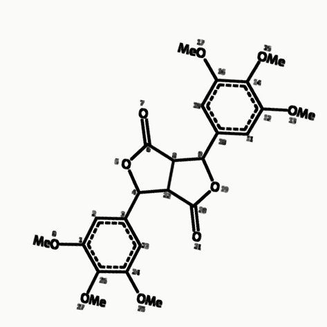 COc1cc(C2OC(=O)C3C(c4cc(OC)c(OC)c(OC)c4)OC(=O)C23)cc(OC)c1OC